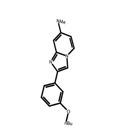 CCCCOc1cccc(-c2cn3ccc(NC)cc3n2)c1